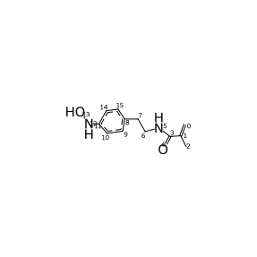 C=C(C)C(=O)NCCc1ccc(NO)cc1